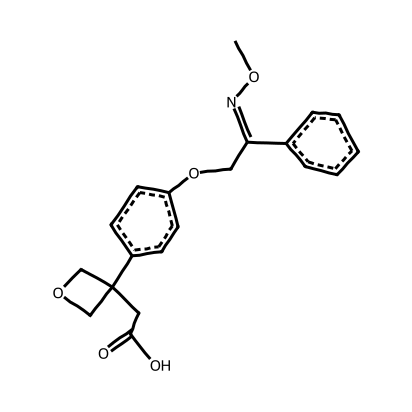 CON=C(COc1ccc(C2(CC(=O)O)COC2)cc1)c1ccccc1